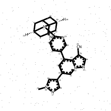 CC(=O)NC12CC3C[C@H](C1)N(c1ccc(-c4cc(-c5cnn(C)c5)cn5ncc(C#N)c45)cn1)[C@@H](C3)C2